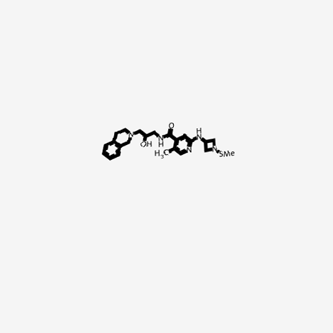 CSN1CC(Nc2cc(C(=O)NCC(O)CN3CCc4ccccc4C3)c(C)cn2)C1